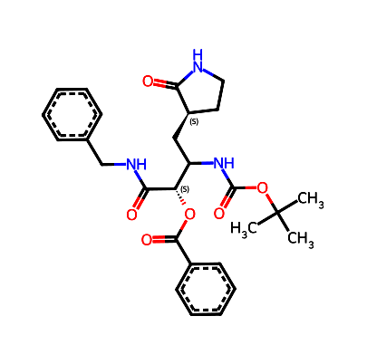 CC(C)(C)OC(=O)NC(C[C@@H]1CCNC1=O)[C@H](OC(=O)c1ccccc1)C(=O)NCc1ccccc1